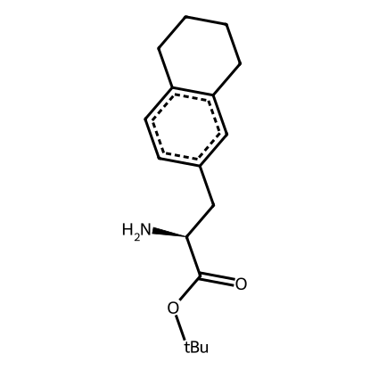 CC(C)(C)OC(=O)[C@@H](N)Cc1ccc2c(c1)CCCC2